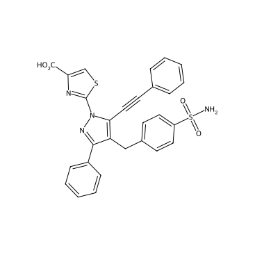 NS(=O)(=O)c1ccc(Cc2c(-c3ccccc3)nn(-c3nc(C(=O)O)cs3)c2C#Cc2ccccc2)cc1